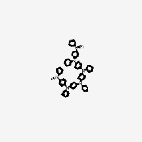 CC(C)N(c1ccccc1)c1ccc(N(c2ccccc2)c2ccc(N(c3ccccc3)c3ccc(N(c4ccccc4)c4ccc(N(c5ccccc5)c5ccc(N(c6ccccc6)C(C)C)cc5)cc4)cc3)cc2)cc1